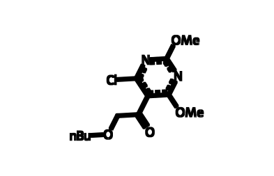 CCCCOCC(=O)c1c(Cl)nc(OC)nc1OC